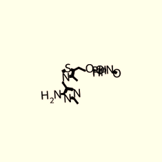 Cc1ncc(C[n+]2csc(CCOPOPN=O)c2C)c(N)n1